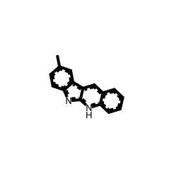 Cc1ccc2nc3[nH]c4ccccc4cc-3c2c1